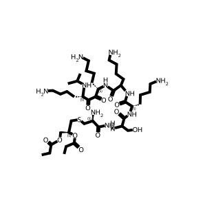 CCC(=O)OC[C@@H](CSC[C@@H](N)C(=O)NNC(CO)C(=O)N[C@@H](CCCCN)C(=O)NC(CCCCN)C(=O)N[C@@H](CCCCN)C(=O)C(=O)[C@H](CCCCN)NC(C)C)OC(=O)CC